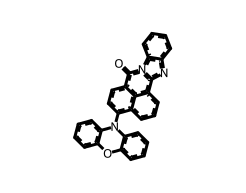 O=c1c2ccc(N3c4ccccc4Oc4ccccc43)c3cccc(c32)c2nc3ccccc3n12